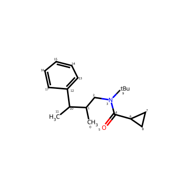 CC(CN(C(=O)C1CC1)C(C)(C)C)C(C)c1ccccc1